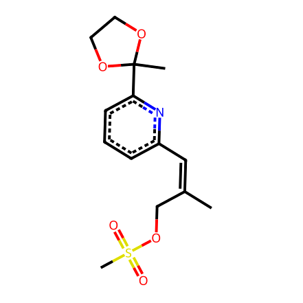 CC(=Cc1cccc(C2(C)OCCO2)n1)COS(C)(=O)=O